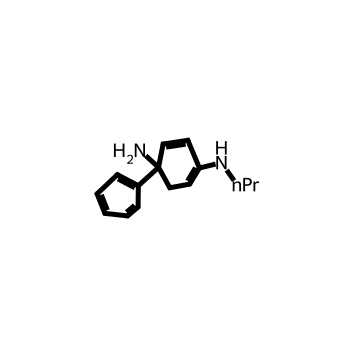 CCCNC1=CCC(N)(c2ccccc2)C=C1